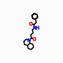 O=C(Cc1ccccc1)NCCCC(=O)N1CCCC2CCCCC21